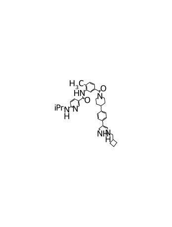 Cc1ccc(C(=O)N2CCC(c3ccc(/C(C=N)=C/NCC4CCC4)cc3)CC2)cc1NC(=O)c1ccc(NC(C)C)nc1